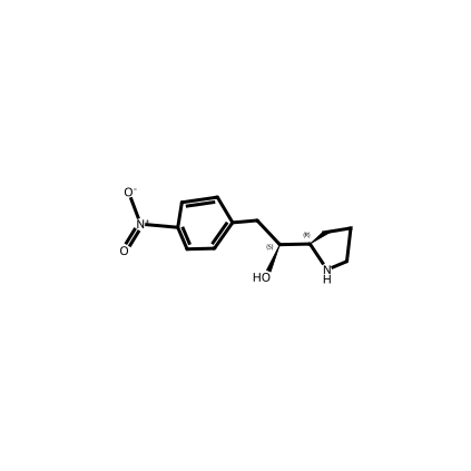 O=[N+]([O-])c1ccc(C[C@H](O)[C@H]2CCCN2)cc1